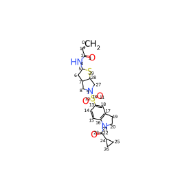 C=CC(=O)NC1CC2CN(S(=O)(=O)c3ccc4c(c3)CCN4C(=O)C3CC3)CC2S1